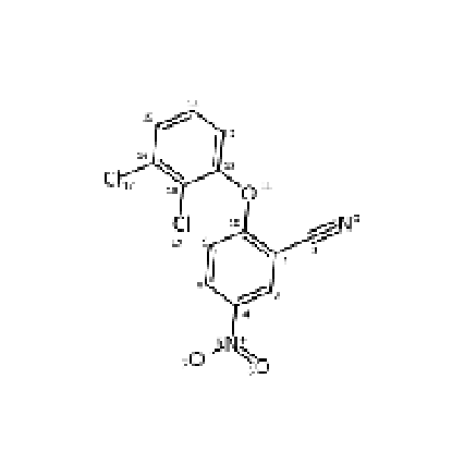 N#Cc1cc([N+](=O)[O-])ccc1Oc1cccc(Cl)c1Cl